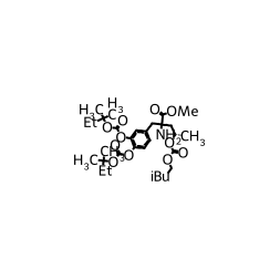 CCC(C)COC(=O)O[C@@H](C)CC(N)(Cc1ccc(OC(=O)OC(C)(C)CC)c(OC(=O)OC(C)(C)CC)c1)C(=O)OC